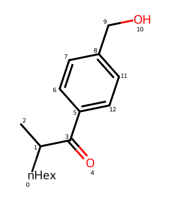 CCCCCCC(C)C(=O)c1ccc(CO)cc1